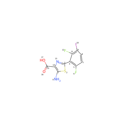 Nc1sc(-c2c(F)ccc(I)c2F)nc1C(=O)O